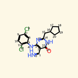 N=Cc1c(Nc2cc(Cl)ccc2Cl)nc(CC2CCCC2)[nH]c1=O